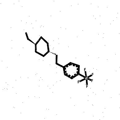 CC[C@H]1CC[C@H](CCc2ccc(S(F)(F)(F)(F)F)cc2)CC1